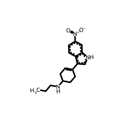 CCCNC1CC=C(c2c[nH]c3cc([N+](=O)[O-])ccc23)CC1